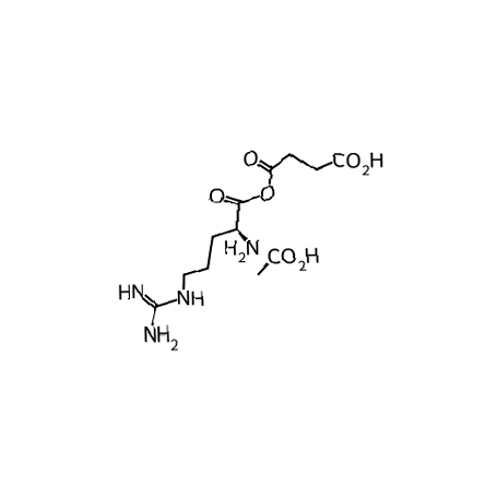 CC(=O)O.N=C(N)NCCC[C@H](N)C(=O)OC(=O)CCC(=O)O